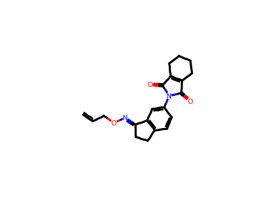 C=CCO/N=C1\CCc2ccc(N3C(=O)C4=C(CCCC4)C3=O)cc21